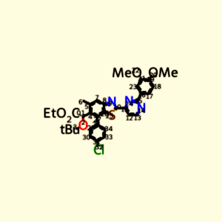 CCOC(=O)[C@@H](OC(C)(C)C)c1c(C)cc2nc(-c3ccnc(-c4ccc(OC)c(OC)c4)n3)sc2c1-c1ccc(Cl)cc1